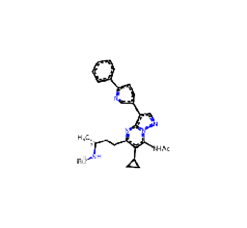 CC[C@H](C)N[C@H](C)CCc1nc2c(-c3ccc(-c4ccccc4)nc3)cnn2c(NC(C)=O)c1C1CC1